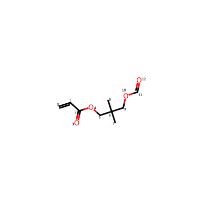 C=CC(=O)OCC(C)(C)COC=O